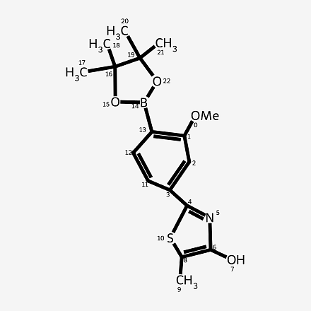 COc1cc(-c2nc(O)c(C)s2)ccc1B1OC(C)(C)C(C)(C)O1